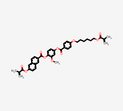 C=C(C)C(=O)OCCCCCCOc1ccc(C(=O)Oc2ccc(OC(=O)c3ccc4cc(OC(=O)C(=C)C)ccc4c3)c(OC)c2)cc1